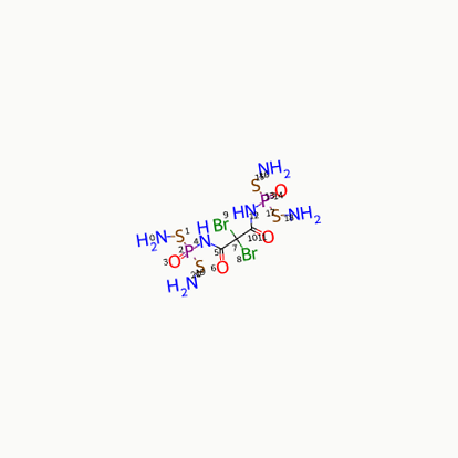 NSP(=O)(NC(=O)C(Br)(Br)C(=O)NP(=O)(SN)SN)SN